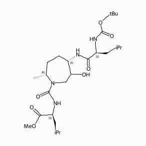 COC(=O)[C@H](CC(C)C)NC(=O)N1CC(O)[C@@H](NC(=O)[C@H](CC(C)C)NC(=O)OC(C)(C)C)CC[C@H]1C